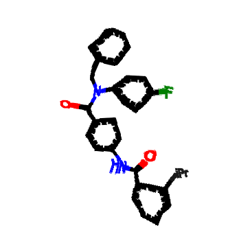 CC(C)c1ccccc1C(=O)Nc1ccc(C(=O)N(Cc2ccccc2)c2ccc(F)cc2)cc1